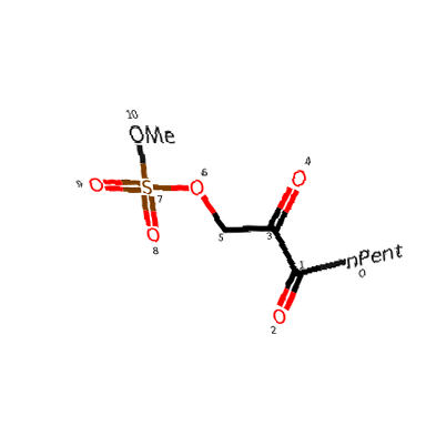 CCCCCC(=O)C(=O)COS(=O)(=O)OC